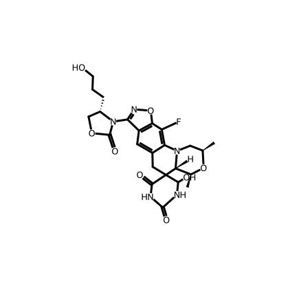 C[C@@H]1CN2c3c(cc4c(N5C(=O)OC[C@@H]5CCCO)noc4c3F)CC3(C(=O)NC(=O)NC3O)[C@H]2[C@H](C)O1